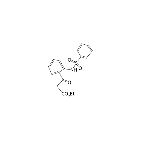 CCOC(=O)CC(=O)c1ccccc1NS(=O)(=O)c1ccccc1